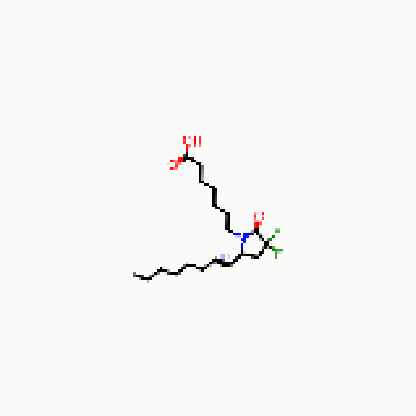 CCCCCC/C=C/C1CC(F)(F)C(=O)N1CCCCCCC(=O)O